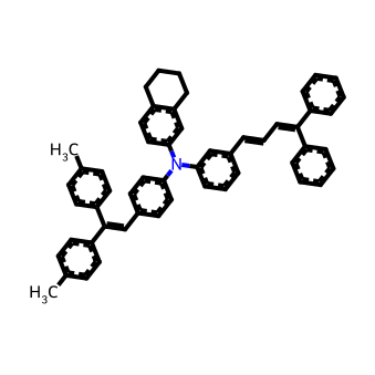 Cc1ccc(C(=Cc2ccc(N(c3cccc(/C=C/C=C(c4ccccc4)c4ccccc4)c3)c3ccc4c(c3)CCCC4)cc2)c2ccc(C)cc2)cc1